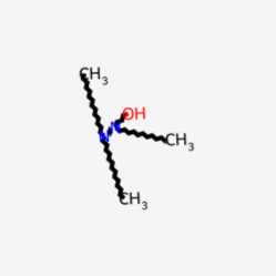 CCCCCCCCCCCCCCN(CCCCCCCCCCCCCC)CCN(CCCO)CCCCCCCCCCCC